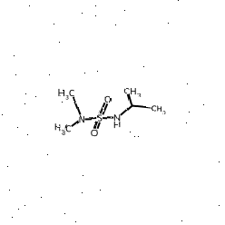 CC(C)NS(=O)(=O)N(C)C